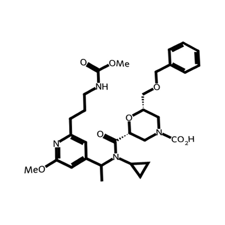 COC(=O)NCCCc1cc(C(C)N(C(=O)[C@H]2CN(C(=O)O)C[C@@H](COCc3ccccc3)O2)C2CC2)cc(OC)n1